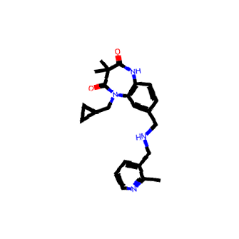 Cc1ncccc1CNCc1ccc2c(c1)N(CC1CC1)C(=O)C(C)(C)C(=O)N2